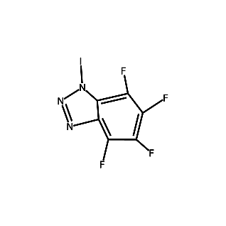 Fc1c(F)c(F)c2c(nnn2I)c1F